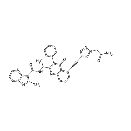 Cc1nn2cccnc2c1C(=O)NC(C)c1nc2cccc(C#Cc3cnn(CC(N)=O)c3)c2c(=O)n1-c1ccccc1